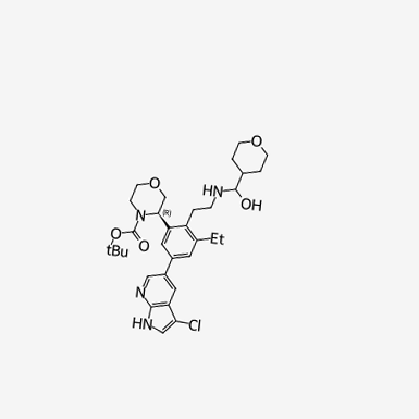 CCc1cc(-c2cnc3[nH]cc(Cl)c3c2)cc([C@@H]2COCCN2C(=O)OC(C)(C)C)c1CCNC(O)C1CCOCC1